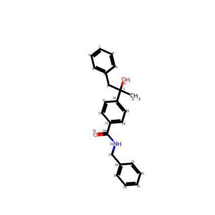 CC(O)(Cc1ccccc1)c1ccc(C(=O)NCc2ccccc2)cc1